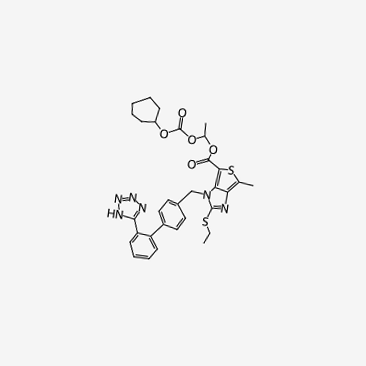 CCSc1nc2c(C)sc(C(=O)OC(C)OC(=O)OC3CCCCC3)c2n1Cc1ccc(-c2ccccc2-c2nnn[nH]2)cc1